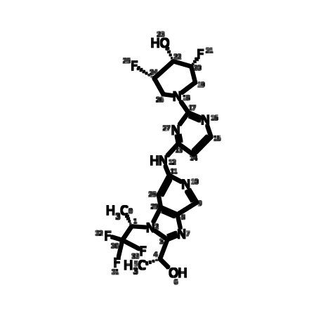 C[C@H](n1c([C@@H](C)O)nc2cnc(Nc3ccnc(N4C[C@@H](F)[C@@H](O)[C@@H](F)C4)n3)cc21)C(F)(F)F